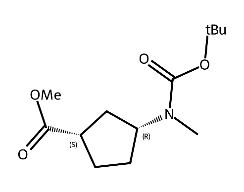 COC(=O)[C@H]1CC[C@@H](N(C)C(=O)OC(C)(C)C)C1